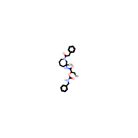 CC(C)CC(OC(=O)NCc1ccccc1)C(=O)NC1(C#N)CCCCN(C(=O)Cc2ccccc2)C1